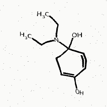 CCN(CC)C1(O)C=CC(O)=CC1